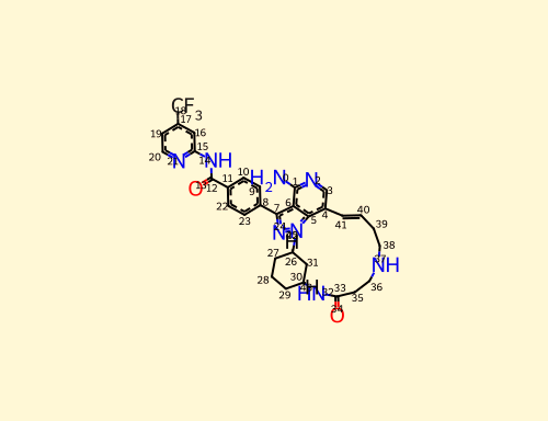 Nc1ncc2c3c1c(-c1ccc(C(=O)Nc4cc(C(F)(F)F)ccn4)cc1)nn3[C@@H]1CCC[C@H](C1)NC(=O)CCNCC/C=C/2